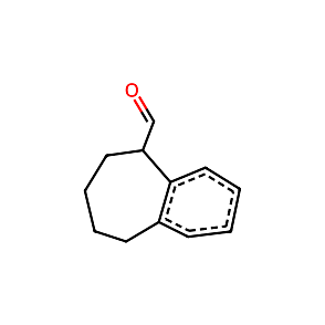 O=CC1CCCCc2ccccc21